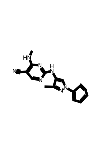 CNc1nc(Nc2cn(-c3ccccc3)nc2C)ncc1C#N